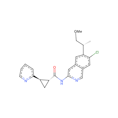 COC[C@H](C)c1cc2cc(NC(=O)[C@@H]3C[C@H]3c3ccccn3)ncc2cc1Cl